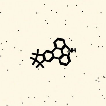 CC1(C)c2cc3c(cc2C(C)(C)C1(C)C)c1cccc2[nH]c4cccc3c4c21